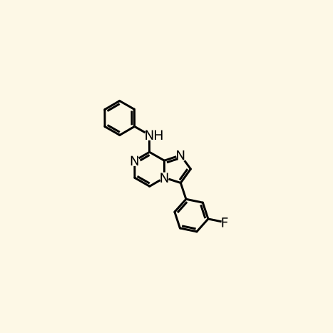 Fc1cccc(-c2cnc3c(Nc4ccccc4)nccn23)c1